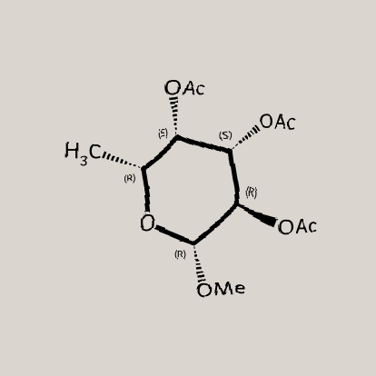 CO[C@@H]1O[C@H](C)[C@H](OC(C)=O)[C@H](OC(C)=O)[C@H]1OC(C)=O